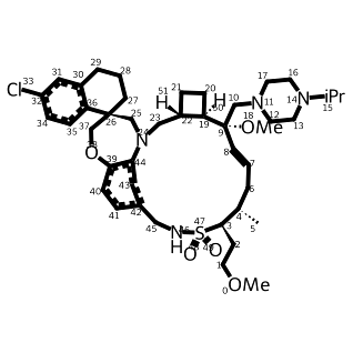 COCC[C@@H]1[C@@H](C)C/C=C/[C@@](CN2CCN(C(C)C)CC2)(OC)[C@@H]2CC[C@H]2CN2C[C@@]3(CCCc4cc(Cl)ccc43)COc3ccc(cc32)CNS1(=O)=O